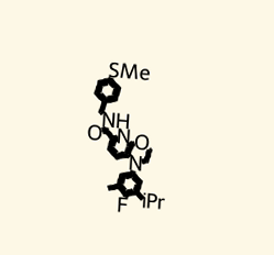 CSc1ccc(CNC(=O)c2ccc3c(n2)OCCN3c2cc(C)c(F)c(C(C)C)c2)cc1